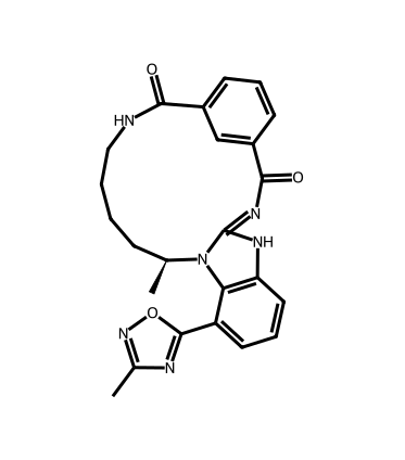 Cc1noc(-c2cccc3c2N2/C(=N/C(=O)c4cccc(c4)C(=O)NCCCC[C@@H]2C)N3)n1